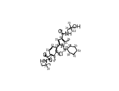 Cc1c(S(=O)(=O)NC(C)(C)C)ccc(-c2cc(C(=O)NCC(C)(C)O)c(C)n2CC2CCCCC2)c1Cl